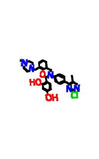 Cc1cnc(Cl)nc1-c1ccc(N(Cc2cccc(CN3CCN(C)CC3)c2)C(=O)c2ccc(O)cc2O)cc1